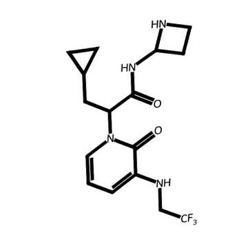 O=C(NC1CCN1)C(CC1CC1)n1cccc(NCC(F)(F)F)c1=O